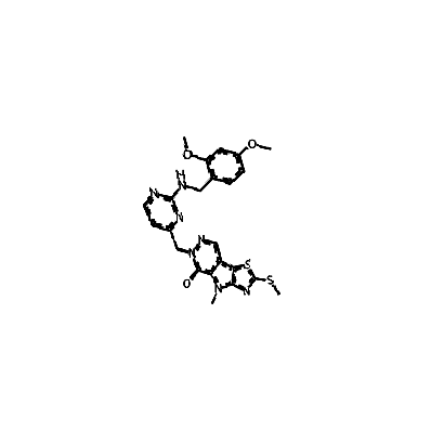 COc1ccc(CNc2nccc(Cn3ncc4c5sc(SC)nc5n(C)c4c3=O)n2)c(OC)c1